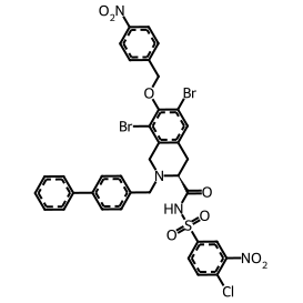 O=C(NS(=O)(=O)c1ccc(Cl)c([N+](=O)[O-])c1)[C@@H]1Cc2cc(Br)c(OCc3ccc([N+](=O)[O-])cc3)c(Br)c2CN1Cc1ccc(-c2ccccc2)cc1